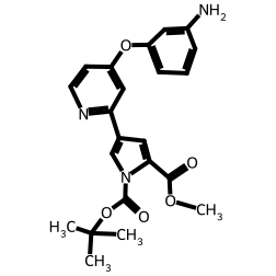 COC(=O)c1cc(-c2cc(Oc3cccc(N)c3)ccn2)cn1C(=O)OC(C)(C)C